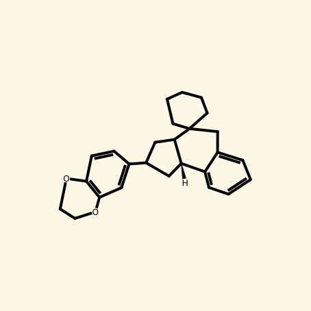 c1ccc2c(c1)CC1(CCCCC1)C1CC(c3ccc4c(c3)OCCO4)C[C@@H]21